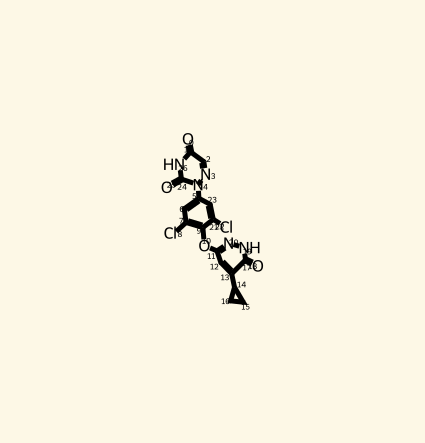 O=c1cnn(-c2cc(Cl)c(Oc3cc(C4CC4)c(=O)[nH]n3)c(Cl)c2)c(=O)[nH]1